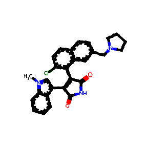 Cn1cc(C2=C(c3c(Cl)ccc4ccc(CN5CCCC5)cc34)C(=O)NC2=O)c2ccccc21